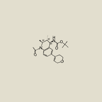 CC(=O)N1c2ccc(C3=CCOCC3)cc2[C@H](NC(=O)OC(C)(C)C)[C@@H](C)[C@@H]1C